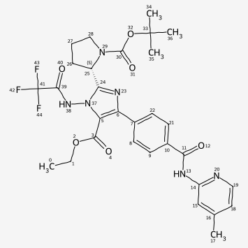 CCOC(=O)c1c(-c2ccc(C(=O)Nc3cc(C)ccn3)cc2)nc([C@@H]2CCCN2C(=O)OC(C)(C)C)n1NC(=O)C(F)(F)F